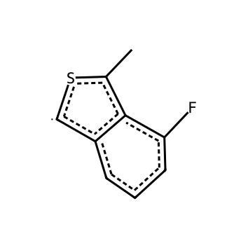 Cc1s[c]c2cccc(F)c12